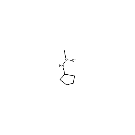 C[S+]([O-])NC1CCCC1